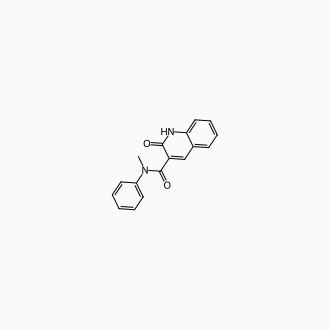 CN(C(=O)c1cc2ccccc2[nH]c1=O)c1ccccc1